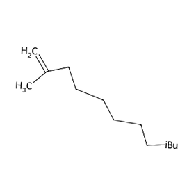 C=C(C)CCCCCCC(C)CC